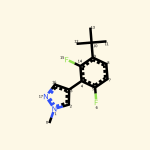 Cn1cc(-c2c(F)ccc(C(C)(C)C)c2F)cn1